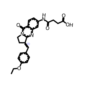 CCOc1ccc(/C=C2\CCn3c2nc2cc(NC(=O)CCC(=O)O)ccc2c3=O)cc1